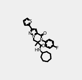 CC1(C(=O)NC2CCCCCC2)Cn2nc(-c3cccs3)cc2C(=O)N1c1ccc(F)cc1